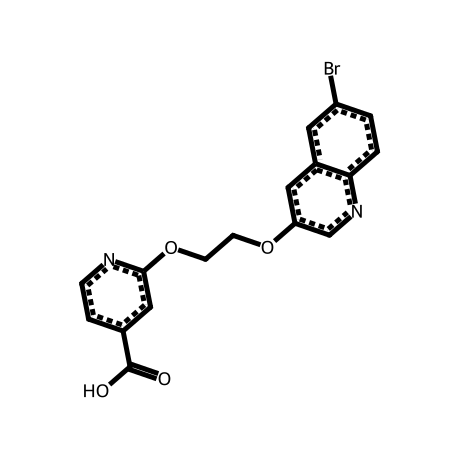 O=C(O)c1ccnc(OCCOc2cnc3ccc(Br)cc3c2)c1